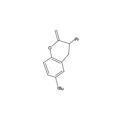 C=C1Oc2ccc(C(C)(C)C)cc2CC1C(C)C